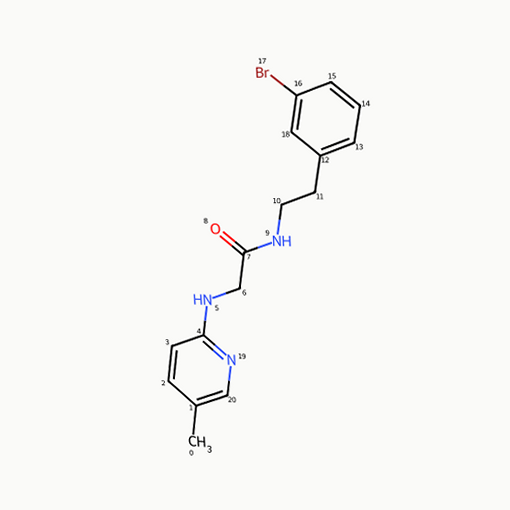 Cc1ccc(NCC(=O)NCCc2cccc(Br)c2)nc1